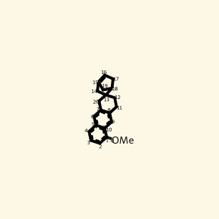 COc1cccc2cc3c(cc12)CCC1(CC2=CCC1C2)C3